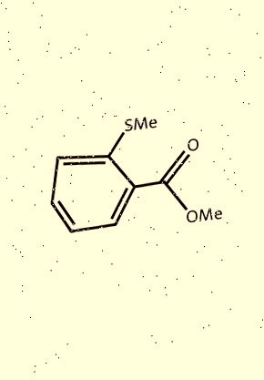 [CH2]OC(=O)c1ccccc1SC